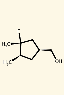 C[C@@H]1C[C@H](CO)C[C@@]1(C)F